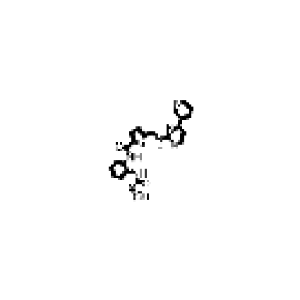 CC(C)(C)OC(=O)Nc1ccccc1NC(=O)c1ccc(CNc2nccc(-c3cccnc3)n2)s1